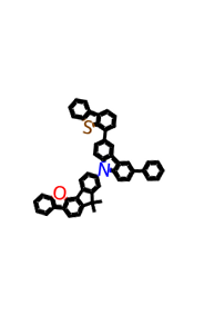 CC1(C)c2cc(-n3c4ccc(-c5ccccc5)cc4c4cc(-c5cccc6c5sc5ccccc56)ccc43)ccc2-c2c1ccc1c2oc2ccccc21